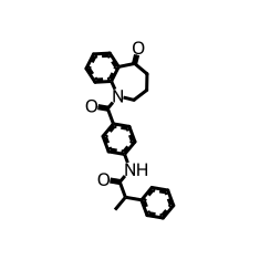 CC(C(=O)Nc1ccc(C(=O)N2CCCC(=O)c3ccccc32)cc1)c1ccccc1